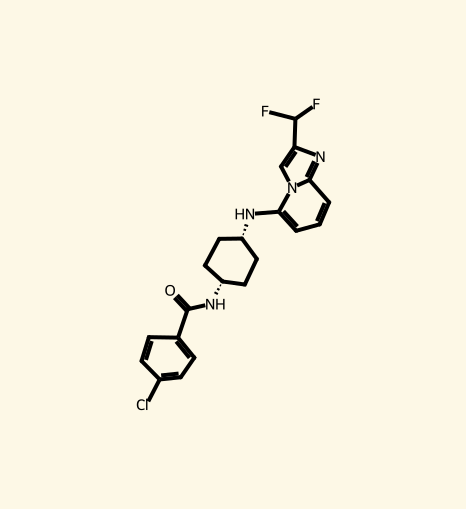 O=C(N[C@H]1CC[C@@H](Nc2cccc3nc(C(F)F)cn23)CC1)c1ccc(Cl)cc1